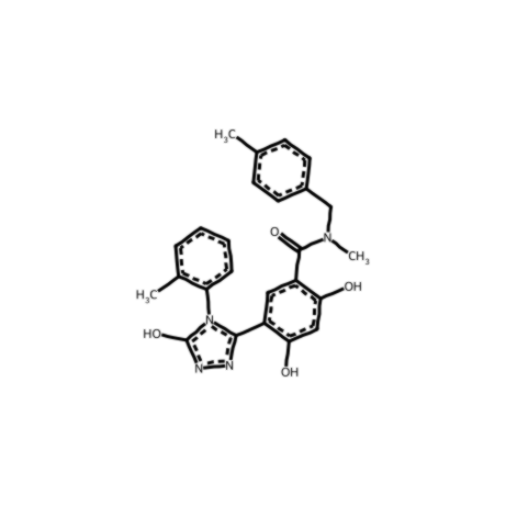 Cc1ccc(CN(C)C(=O)c2cc(-c3nnc(O)n3-c3ccccc3C)c(O)cc2O)cc1